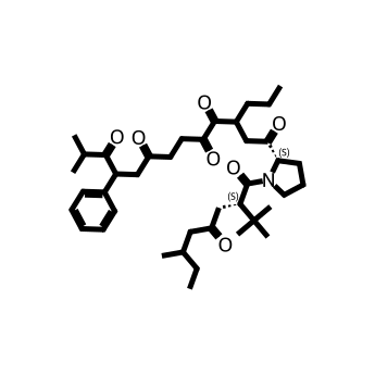 CCCC(CC(=O)[C@@H]1CCCN1C(=O)[C@@H](CC(=O)CC(C)CC)C(C)(C)C)C(=O)C(=O)CCC(=O)CC(C(=O)C(C)C)c1ccccc1